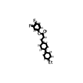 CCC1CCC(C2CCC(CCC(=O)Oc3ccc(F)c(F)c3)CC2)CC1